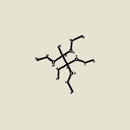 CCOC(CC)(OCC)[Si](C)(OCC)OCC